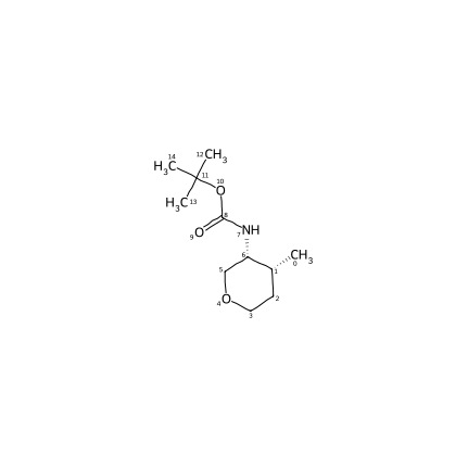 C[C@@H]1CCOC[C@@H]1NC(=O)OC(C)(C)C